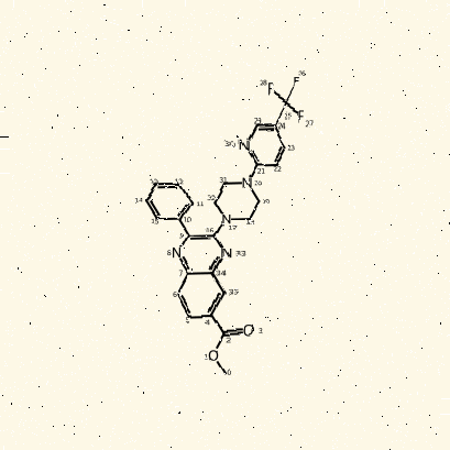 COC(=O)c1ccc2nc(-c3ccccc3)c(N3CCN(c4ccc(C(F)(F)F)cn4)CC3)nc2c1